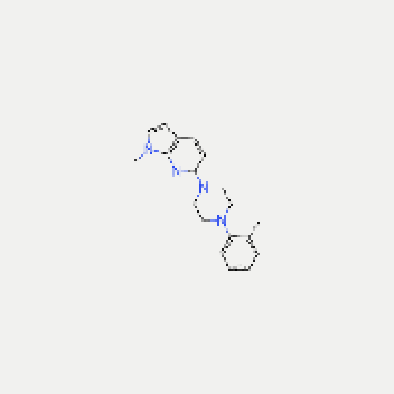 Cc1ccccc1N1CCN(c2ccc3ccn(C)c3n2)CC1